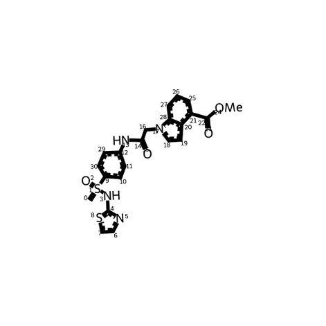 C=S(=O)(Nc1nccs1)c1ccc(NC(=O)Cn2ccc3c(C(=O)OC)cccc32)cc1